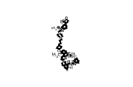 Cc1c(OC2CCC(CCCCN3CCN(Cc4nc5ccc(C6CCC(=O)NC6=O)cc5n4C)CC3)CC2)cccc1-c1ccc(N2CCc3cccc(C(=O)Nc4nc5ccccc5s4)c3C2)nc1C(=O)OC(C)(C)C